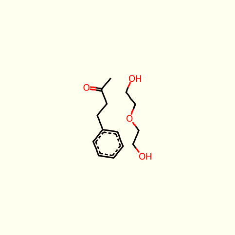 CC(=O)CCc1ccccc1.OCCOCCO